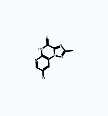 Cc1nc2c(=O)[nH]c3ncc(Cl)cc3n2n1